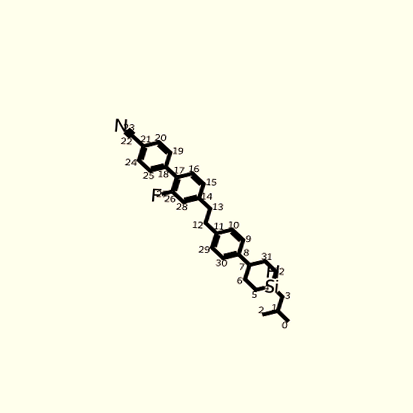 CC(C)C[SiH]1CCC(c2ccc(CCc3ccc(-c4ccc(C#N)cc4)c(F)c3)cc2)CC1